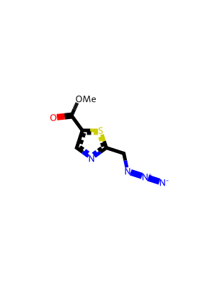 COC(=O)c1cnc(CN=[N+]=[N-])s1